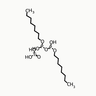 CCCCCCCCOP(O)OP(O)OCCCCCCCC.[O]=[Ti]([OH])[OH]